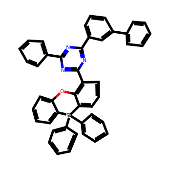 c1ccc(-c2cccc(-c3nc(-c4ccccc4)nc(-c4cccc5c4Oc4ccccc4[Si]5(c4ccccc4)c4ccccc4)n3)c2)cc1